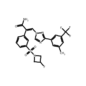 Cc1cc(-c2ncn(/C=C(/C(N)=O)c3cccc(S(=O)(=O)N4CC(F)C4)c3)n2)cc(C(F)(F)F)c1